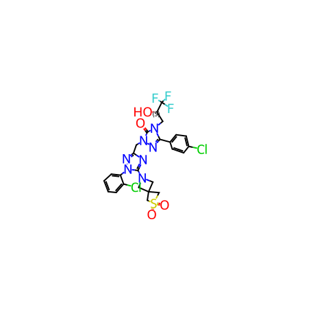 O=c1n(Cc2nc(N3CC4(C3)CS(=O)(=O)C4)n(-c3ccccc3Cl)n2)nc(-c2ccc(Cl)cc2)n1C[C@H](O)C(F)(F)F